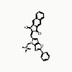 C[Si](C)(C)Cn1c(C=C2C(=O)c3cc4ccccc4cc3C2=O)cc2oc(-c3ccccc3)nc21